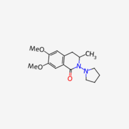 COc1cc2c(cc1OC)C(=O)N(N1CCCC1)C(C)C2